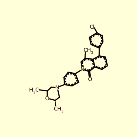 Cc1cn(-c2ccc(N3CC(C)O[C@H](C)C3)cc2)c(=O)c2cccc(-c3ccc(Cl)cc3)c12